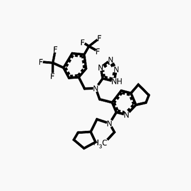 CCN(CC1CCCC1)c1nc2c(cc1CN(Cc1cc(C(F)(F)F)cc(C(F)(F)F)c1)c1nnn[nH]1)CCC2